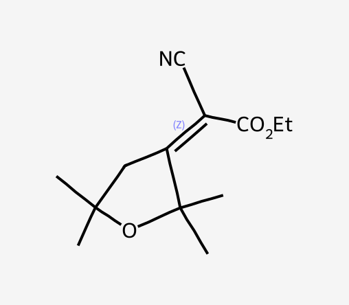 CCOC(=O)/C(C#N)=C1/CC(C)(C)OC1(C)C